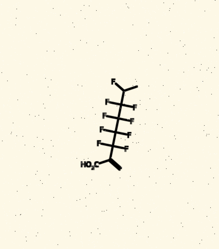 C=C(C(=O)O)C(F)(F)C(F)(F)C(F)(F)C(F)(F)C(C)F